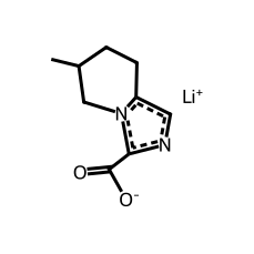 CC1CCc2cnc(C(=O)[O-])n2C1.[Li+]